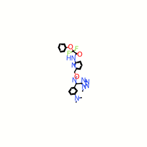 CN(C)c1cccc(C(=NOCc2cccc(NC(=O)C(F)(F)Oc3ccccc3)n2)c2nnnn2C)c1